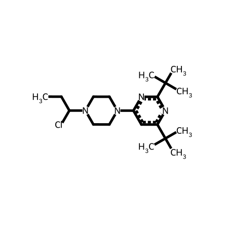 CCC(Cl)N1CCN(c2cc(C(C)(C)C)nc(C(C)(C)C)n2)CC1